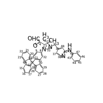 CC1(C)C(C(=O)C=O)N(c2ccc(C(c3ccccc3)(c3ccccc3)c3ccccc3)cc2)CN1Cc1ccnc(Nc2ccccc2)c1